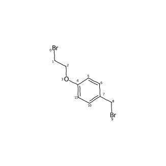 BrCCOc1ccc(CBr)cc1